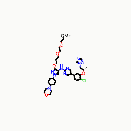 COCCOCCOCCCOc1nn([C@H]2CC[C@H](N3CCOCC3)CC2)cc1Nc1ncc(-c2ccc(Cl)c(O[C@@H](C)Cn3cncn3)c2)cn1